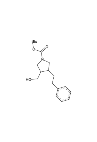 CC(C)(C)OC(=O)N1CC(CO)C(CCc2ccccc2)C1